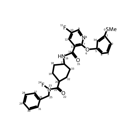 CSc1cccc(Oc2ncc(F)cc2C(=O)NC2CCC(C(=O)N(F)Cc3ccccc3)CC2)c1